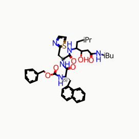 CCC(C)NC(=O)CC(O)C(CC(C)C)NC(=O)[C@H](Cc1nccs1)NC(=O)[C@H](Cc1cccc2ccccc12)NC(=O)OCc1ccccc1